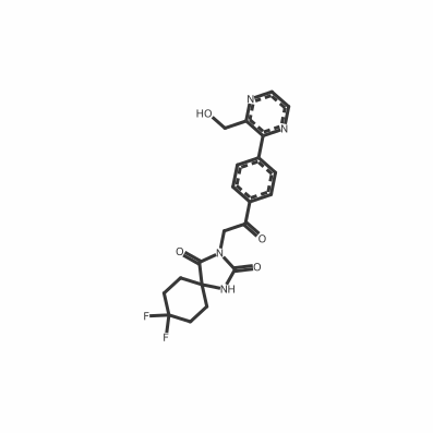 O=C(CN1C(=O)NC2(CCC(F)(F)CC2)C1=O)c1ccc(-c2nccnc2CO)cc1